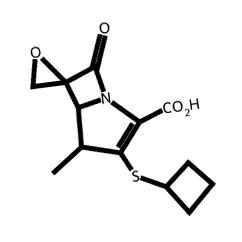 CC1C(SC2CCC2)=C(C(=O)O)N2C(=O)C3(CO3)C12